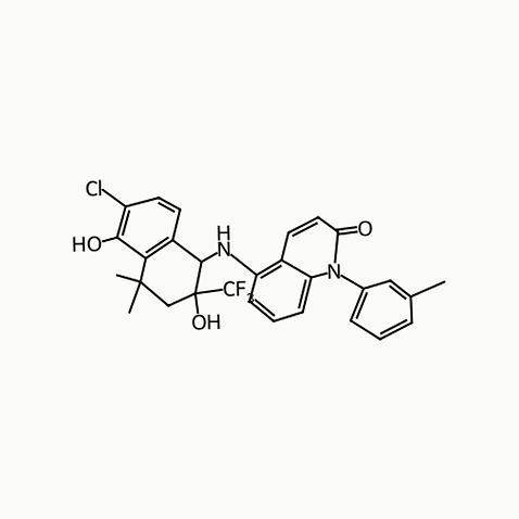 Cc1cccc(-n2c(=O)ccc3c(NC4c5ccc(Cl)c(O)c5C(C)(C)CC4(O)C(F)(F)F)cccc32)c1